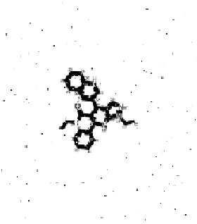 CCOC(=O)c1c(-c2ccccc2)nc2c(cnn2CC)c1-c1cnc2ccccc2c1